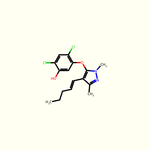 CCCC=Cc1c(C)nn(C)c1Oc1cc(O)c(Cl)cc1Cl